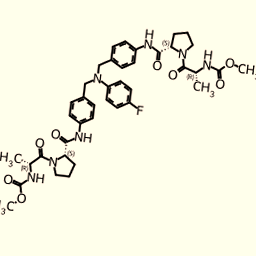 COC(=O)N[C@H](C)C(=O)N1CCC[C@H]1C(=O)Nc1ccc(CN(Cc2ccc(NC(=O)[C@@H]3CCCN3C(=O)[C@@H](C)NC(=O)OC)cc2)c2ccc(F)cc2)cc1